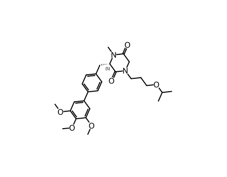 COc1cc(-c2ccc(C[C@H]3C(=O)N(CCCOC(C)C)CC(=O)N3C)cc2)cc(OC)c1OC